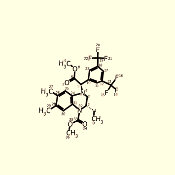 CC[C@H]1CN([C@@H](C(=O)OC)c2cc(C(F)(F)F)cc(C(F)(F)F)c2)c2cc(C)c(C)cc2N1C(=O)OC